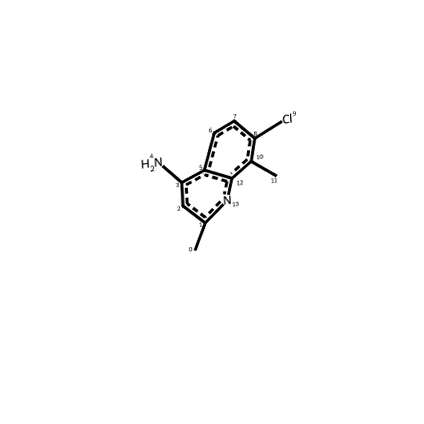 Cc1cc(N)c2ccc(Cl)c(C)c2n1